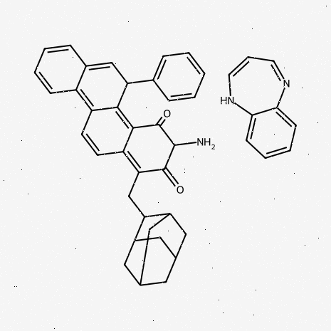 C1=CNc2ccccc2N=C1.NC1C(=O)C(CC2C3CC4CC(C3)CC2C4)=c2ccc3c(c2C1=O)C(c1ccccc1)C=c1ccccc1=3